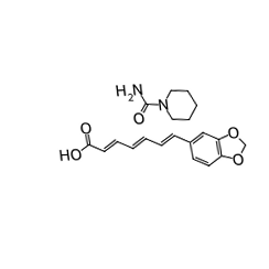 NC(=O)N1CCCCC1.O=C(O)/C=C/C=C/C=C/c1ccc2c(c1)OCO2